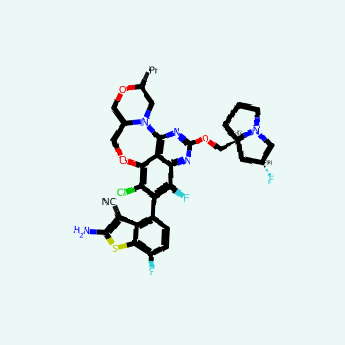 CC(C)C1CN2c3nc(OC[C@@]45CCCN4C[C@H](F)C5)nc4c(F)c(-c5ccc(F)c6sc(N)c(C#N)c56)c(Cl)c(c34)OCC2CO1